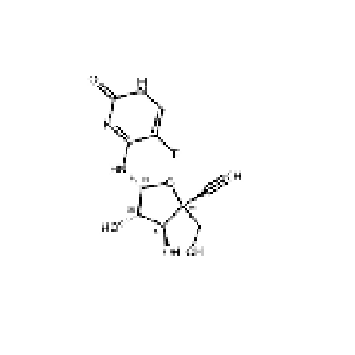 C#C[C@]1(CO)O[C@@H](Nc2nc(=O)[nH]cc2F)[C@@H](O)[C@@H]1O